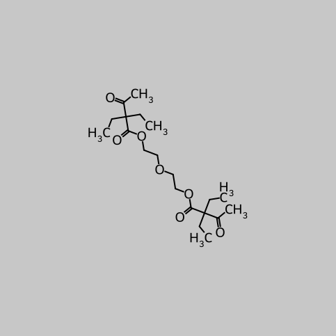 CCC(CC)(C(C)=O)C(=O)OCCOCCOC(=O)C(CC)(CC)C(C)=O